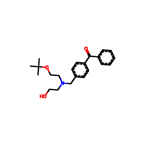 CC(C)(C)OCCN(CCO)Cc1ccc(C(=O)c2ccccc2)cc1